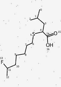 CC(C)CC(SCCCCCC(C)F)C(=O)O